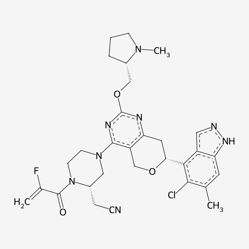 C=C(F)C(=O)N1CCN(c2nc(OC[C@@H]3CCCN3C)nc3c2CO[C@@H](c2c(Cl)c(C)cc4[nH]ncc24)C3)C[C@@H]1CC#N